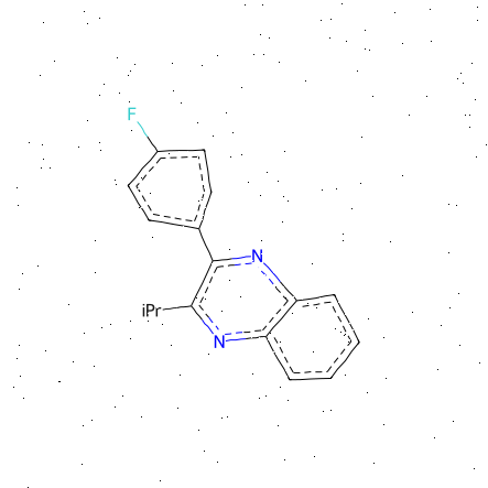 CC(C)c1nc2ccccc2nc1-c1ccc(F)cc1